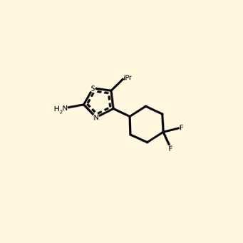 CC(C)c1sc(N)nc1C1CCC(F)(F)CC1